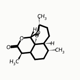 C[C@@H]1CCC2[C@@H](C)C(=O)O[C@@H]3O[C@]4(C)CC[C@@H]1[C@@]23OO4